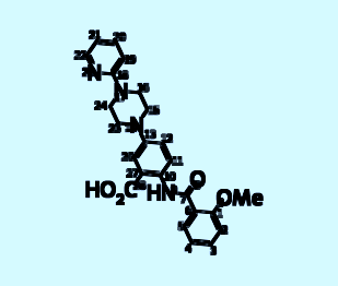 COc1ccccc1C(=O)Nc1ccc(N2CCN(c3ccccn3)CC2)cc1C(=O)O